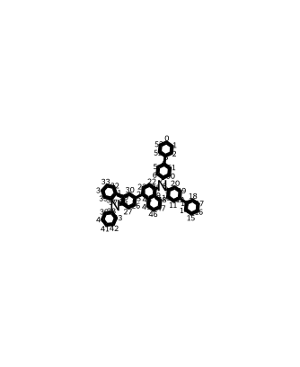 c1ccc(-c2ccc(N(c3ccc(-c4ccccc4)cc3)c3ccc(-c4ccc5c(c4)c4ccccc4n5-c4ccccc4)c4ccccc34)cc2)cc1